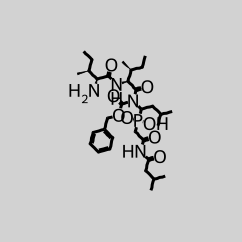 CC[C@H](C)[C@H](N)C(=O)N[C@H](C(=O)N(C(=O)OCc1ccccc1)C(CC(C)C)P(=O)(O)CC(=O)NC(=O)CC(C)C)[C@@H](C)CC